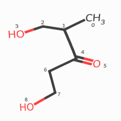 CC(CO)C(=O)CCO